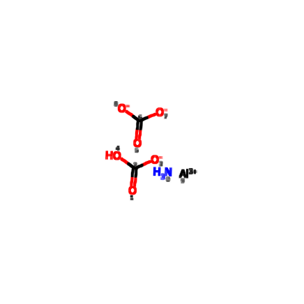 N.O=C([O-])O.O=C([O-])[O-].[Al+3]